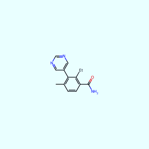 CCc1c(C(N)=O)ccc(C)c1-c1cncnc1